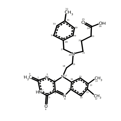 C=c1nc2c(c(=O)[nH]1)=Nc1cc(C)c(C)cc1N2CCN(CCCC(=O)O)Cc1ccc(C)cc1